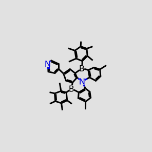 Cc1ccc2c(c1)B(c1c(C)c(C)c(C)c(C)c1C)c1cc(-c3ccncc3)cc3c1N2c1ccc(C)cc1B3c1c(C)c(C)c(C)c(C)c1C